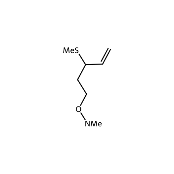 C=CC(CCONC)SC